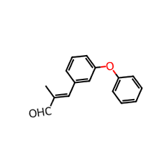 C/C(C=O)=C\c1cccc(Oc2ccccc2)c1